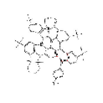 CC(C)(C)c1ccc(N(c2ccc(C(C)(C)C)cc2)c2cc3c4c(c2)N2c5c(cc(C(C)(C)C)cc5C5(C)CCCCC25C)B4c2c(sc4cc(C(C)(C)C)ccc24)N3c2c(-c3ccccc3)cc(C(C)(C)C)cc2-c2ccccc2)cc1